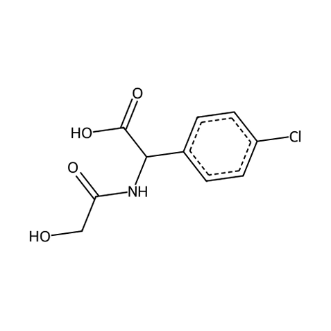 O=C(CO)NC(C(=O)O)c1ccc(Cl)cc1